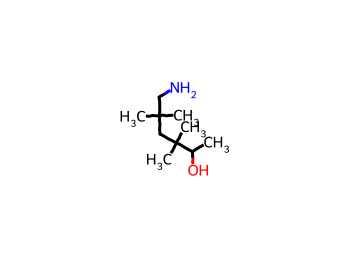 CC(O)C(C)(C)CC(C)(C)CN